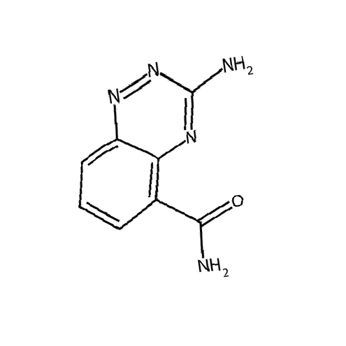 NC(=O)c1cccc2nnc(N)nc12